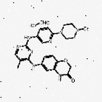 CCN1CCN(c2ccc(Nc3ncc(C)c(Nc4ccc5c(c4)NC(=O)CO5)n3)cn2)CC1.O=CO